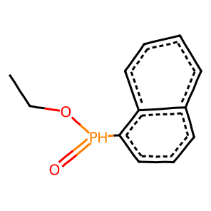 CCO[PH](=O)c1cccc2ccccc12